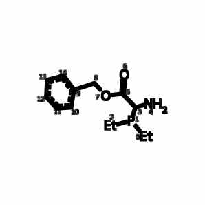 CCP(CC)C(N)C(=O)OCc1ccccc1